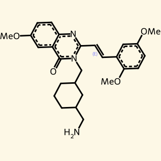 COc1ccc(OC)c(/C=C/c2nc3ccc(OC)cc3c(=O)n2CC2CCCC(CN)C2)c1